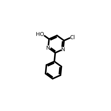 Oc1cc(Cl)nc(-c2ccccc2)n1